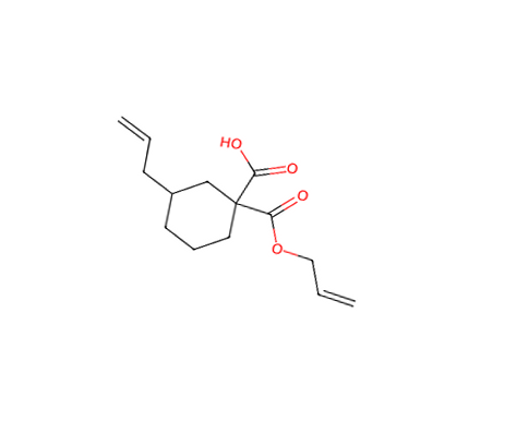 C=CCOC(=O)C1(C(=O)O)CCCC(CC=C)C1